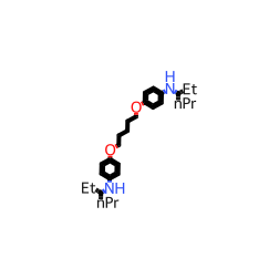 CCCC(CC)Nc1ccc(OCCCCCOc2ccc(NC(CC)CCC)cc2)cc1